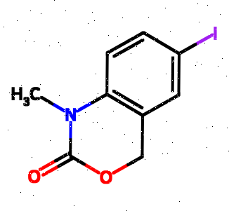 CN1C(=O)OCc2cc(I)ccc21